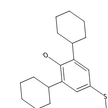 CC(C)(C)Sc1cc(C2CCCCC2)c([O])c(C2CCCCC2)c1